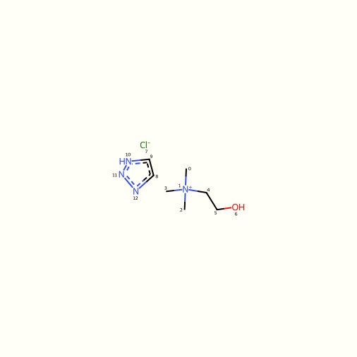 C[N+](C)(C)CCO.[Cl-].c1c[nH]nn1